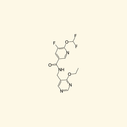 CCOc1ncncc1CNC(=O)c1cnc(OC(F)F)c(F)c1